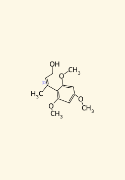 COc1cc(OC)c(/C(C)=C\CO)c(OC)c1